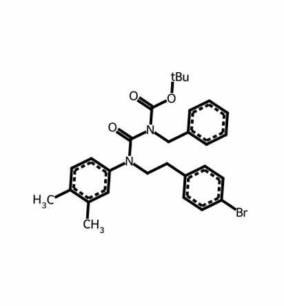 Cc1ccc(N(CCc2ccc(Br)cc2)C(=O)N(Cc2ccccc2)C(=O)OC(C)(C)C)cc1C